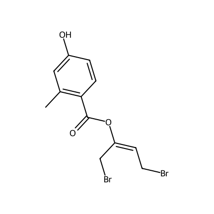 Cc1cc(O)ccc1C(=O)OC(=CCBr)CBr